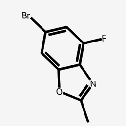 Cc1nc2c(F)cc(Br)cc2o1